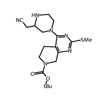 CSc1nc2c(c(N3CCNC(CC#N)C3)n1)CCN(C(=O)OC(C)(C)C)C2